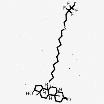 C[C@]12CCC(=O)C[C@@H]1C[C@@H](CCCCCCCCCCCCCSCCCC(F)(F)C(F)(F)F)[C@@H]1[C@@H]2CC[C@]2(C)[C@@H](O)CC[C@@H]12